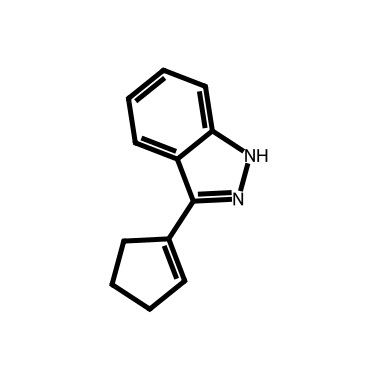 C1=C(c2n[nH]c3ccccc23)CCC1